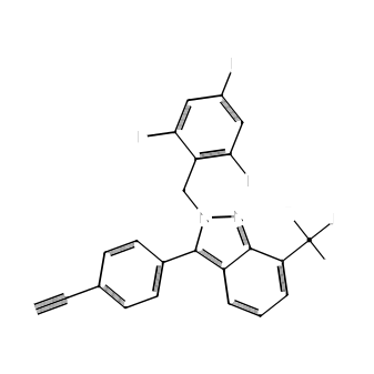 C#Cc1ccc(-c2c3cccc(C(F)(F)F)c3nn2Cc2c(F)cc(F)cc2F)cc1